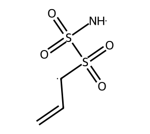 C=C[CH]S(=O)(=O)S([NH])(=O)=O